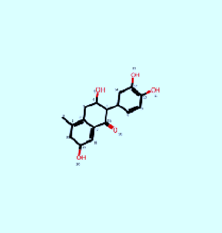 CC1=C2CC(O)C(C3C=CC(O)=C(O)C3)C(=O)C2=CC(O)C1